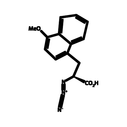 COc1ccc(C[C@H](N=[N+]=[N-])C(=O)O)c2ccccc12